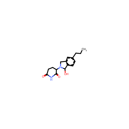 CCCc1ccc2c(c1)CN(C1CCC(=O)NC1=O)C2O